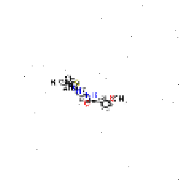 COc1cccc(C#CC(=O)NC2CCN(c3nc(C(C)(C)C)cs3)C2)c1